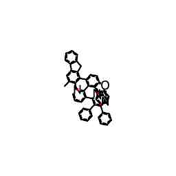 Cc1cc2c(c(-c3ccc4oc5ccccc5c4c3-c3ncccc3-c3nnnc(-c4ccccc4)c3-c3ccccc3)c1C)Cc1ccccc1-2